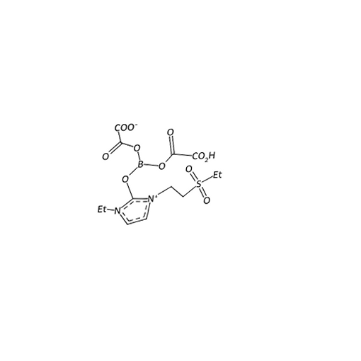 CCn1cc[n+](CCS(=O)(=O)CC)c1OB(OC(=O)C(=O)[O-])OC(=O)C(=O)O